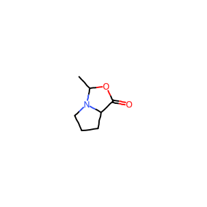 CC1OC(=O)C2CCCN12